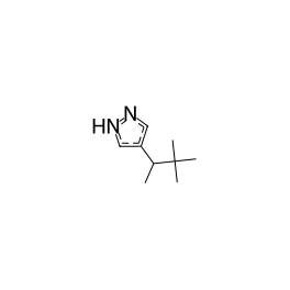 CC(c1cn[nH]c1)C(C)(C)C